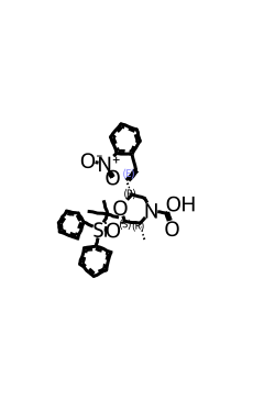 C[C@@H]1[C@H](O[Si](c2ccccc2)(c2ccccc2)C(C)(C)C)O[C@H](/C=C/c2ccccc2[N+](=O)[O-])CN1C(=O)O